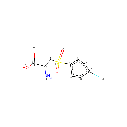 NC(CS(=O)(=O)c1ccc(F)cc1)C(=O)O